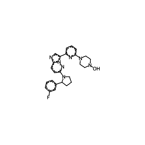 ON1CCN(c2cccc(-c3cnc4ccc(N5CCCC5c5cccc(F)c5)nn34)n2)CC1